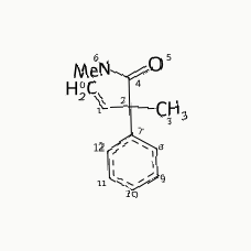 C=CC(C)(C(=O)NC)c1ccccc1